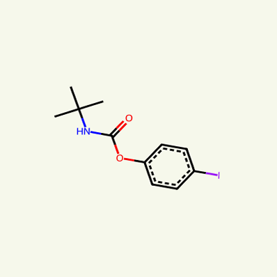 CC(C)(C)NC(=O)Oc1ccc(I)cc1